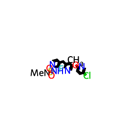 CNS(=O)(=O)Nc1nccc(Cc2cncc(Oc3ccc(Cl)cn3)c2C)c1F